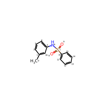 Cc1[c]ccc(NS(=O)(=O)c2ccccc2)c1